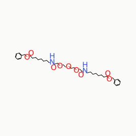 O=C(COCCOCCOCC(=O)NCCCCCCCC(=O)OCc1ccccc1)NCCCCCCCC(=O)OCc1ccccc1